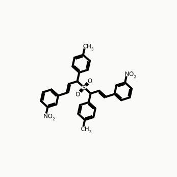 Cc1ccc(C(C=Cc2cccc([N+](=O)[O-])c2)S(=O)(=O)C(C=Cc2cccc([N+](=O)[O-])c2)c2ccc(C)cc2)cc1